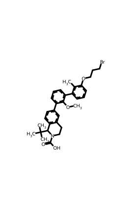 COc1c(-c2ccc3c(c2)CCN(C(=O)O)C3C(C)(C)C)cccc1-c1cccc(OCCCBr)c1C